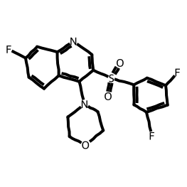 O=S(=O)(c1cc(F)cc(F)c1)c1cnc2cc(F)ccc2c1N1CCOCC1